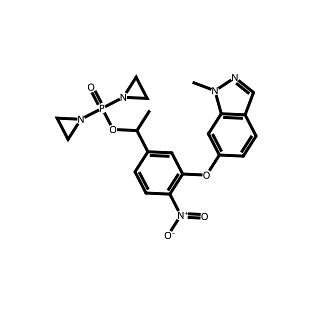 CC(OP(=O)(N1CC1)N1CC1)c1ccc([N+](=O)[O-])c(Oc2ccc3cnn(C)c3c2)c1